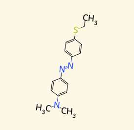 CCSc1ccc(N=Nc2ccc(N(C)C)cc2)cc1